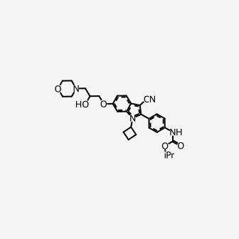 CC(C)OC(=O)Nc1ccc(-c2c(C#N)c3ccc(OCC(O)CN4CCOCC4)cc3n2C2CCC2)cc1